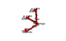 CCCCCCCNC(=O)C(CCCCNC(=O)COCCOCCOCCO[C@@H]1O[C@H](CO)[C@H](O)[C@H](O)[C@H]1NC(C)=O)NC(=O)C(CCCCNC(=O)COCCOCCOCCO[C@@H]1O[C@H](CO)[C@H](C)[C@H](C)[C@H]1NC(C)=O)NC(=O)COCCOCCOCCO[C@@H]1O[C@H](CO)[C@H](C)[C@H](C)[C@H]1NC(C)=O